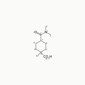 CN(C)C(=O)C1CCC(C)(C(=O)O)CC1